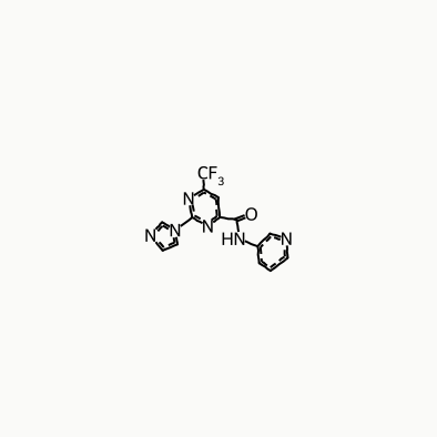 O=C(Nc1cccnc1)c1cc(C(F)(F)F)nc(-n2ccnc2)n1